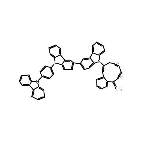 C=C1/C=C\C=C/C/C(n2c3ccccc3c3cc(-c4ccc5c(c4)c4ccccc4n5-c4ccc(-n5c6ccccc6c6ccccc65)cc4)ccc32)=C\c2ccccc21